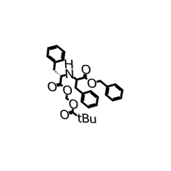 CC(C)(C)C(=O)OCOC(=O)[C@H](Cc1ccccc1)NC(Cc1ccccc1)C(=O)OCc1ccccc1